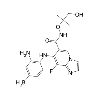 Bc1ccc(Nc2c(C(=O)NOC(C)(C)CO)cn3ccnc3c2F)c(N)c1